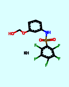 O=S(=O)(Nc1cccc(OCO)c1)c1c(F)c(F)c(F)c(F)c1F.[KH]